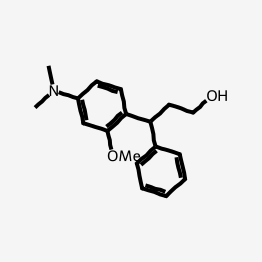 COc1cc(N(C)C)ccc1C(CCO)c1ccccc1